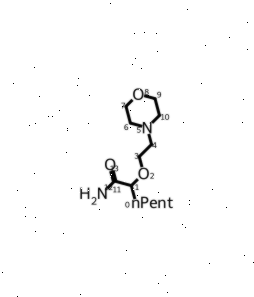 CCCCCC(OCCN1CCOCC1)C(N)=O